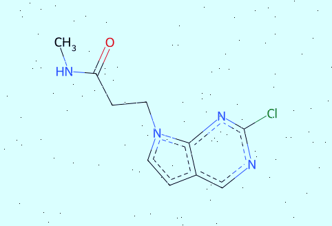 CNC(=O)CCn1ccc2cnc(Cl)nc21